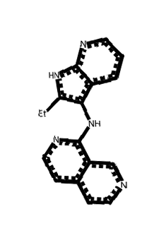 CCc1[nH]c2ncccc2c1Nc1nccc2ccncc12